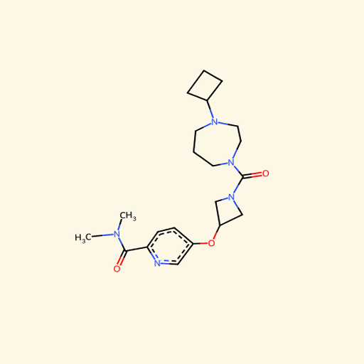 CN(C)C(=O)c1ccc(OC2CN(C(=O)N3CCCN(C4CCC4)CC3)C2)cn1